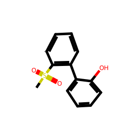 CS(=O)(=O)c1[c]cccc1-c1ccccc1O